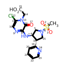 CS(=O)(=O)N1C[C@H](Nc2ncc(Cl)n(CC(=O)O)c2=O)[C@@H](c2ccccn2)C1